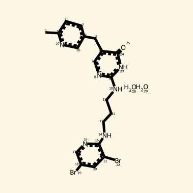 Cc1ccc(Cc2cnc(NCCCNc3ncc(Br)cc3Br)[nH]c2=O)cn1.O.O